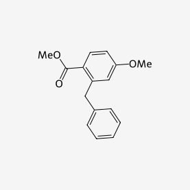 COC(=O)c1ccc(OC)cc1Cc1ccccc1